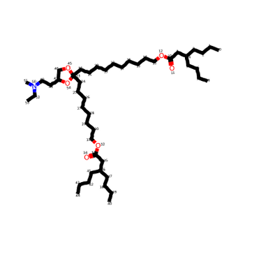 CCCCC(CCCC)CC(=O)OCCCCCCCCCCC1(CCCCCCCCOC(=O)CC(CCCC)CCCC)OCC(CCN(C)CC)O1